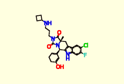 C[C@@]12Cc3c([nH]c4cc(F)c(Cl)cc34)[C@@H](C3=CCCC(O)=C3)N1C(=O)N(CCCNC1CCC1)C2=O